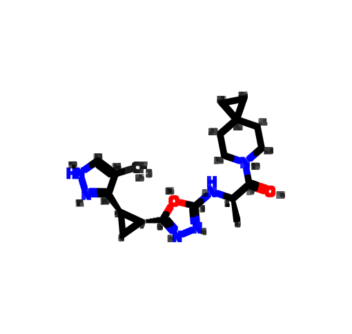 C[C@@H](Nc1nnc([C@@H]2C[C@H]2c2n[nH]cc2C(F)(F)F)o1)C(=O)N1CCC2(CC1)CC2